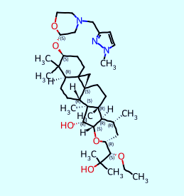 CCO[C@@H]([C@H]1C[C@@H](C)[C@H]2[C@H](O1)[C@H](O)[C@@]1(C)[C@@H]3CC[C@H]4C(C)(C)[C@@H](O[C@H]5CN(Cc6ccn(C)n6)CCO5)CCC45C[C@@]35CC[C@]21C)C(C)(C)O